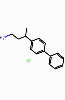 CC(CCN)c1ccc(-c2ccccc2)cc1.Cl